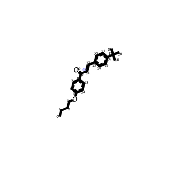 CCCCOc1ccc(C(=O)/C=C/c2ccc(C(C)(C)C)cc2)cc1